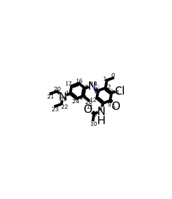 CCC1=C(Cl)C(=O)C(NC(C)=O)=C/C1=N\c1ccc(N(CC)CC)cc1C